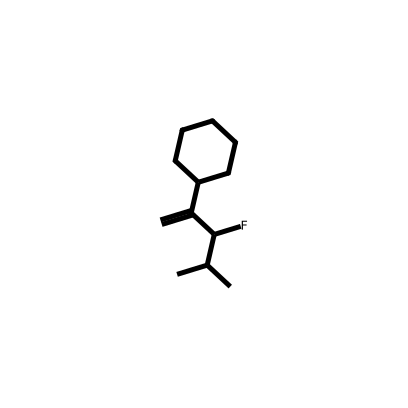 C=C(C1CCCCC1)C(F)C(C)C